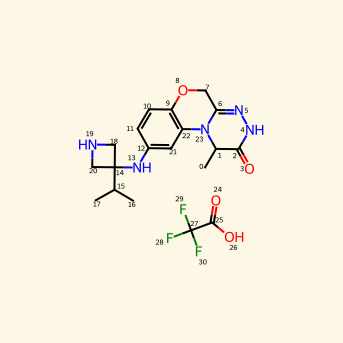 CC1C(=O)NN=C2COc3ccc(NC4(C(C)C)CNC4)cc3N21.O=C(O)C(F)(F)F